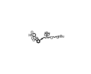 CCCCOCCCOCCN(CCC#Cc1cccc2c1CN(C1CCC(=O)NC1=O)C2=O)C(=O)OC(C)(C)C